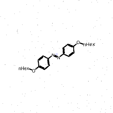 CCCCCCOc1ccc(/N=N/c2ccc(OCCCCCC)cc2)cc1